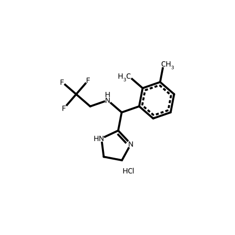 Cc1cccc(C(NCC(F)(F)F)C2=NCCN2)c1C.Cl